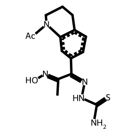 CC(=O)N1CCCc2ccc(C(=NNC(N)=S)C(C)=NO)cc21